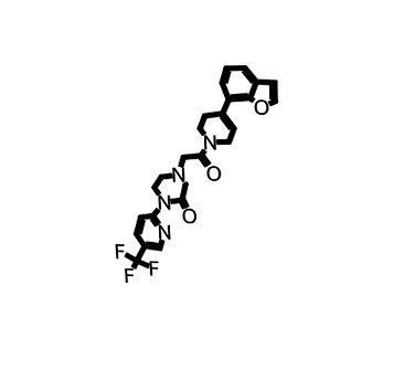 O=C(CN1CCN(c2ccc(C(F)(F)F)cn2)C(=O)C1)N1CC=C(c2cccc3ccoc23)CC1